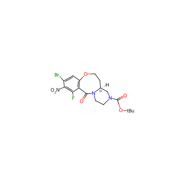 CC(C)(C)OC(=O)N1CCN2C(=O)c3c(cc(Br)c([N+](=O)[O-])c3F)OCC[C@H]2C1